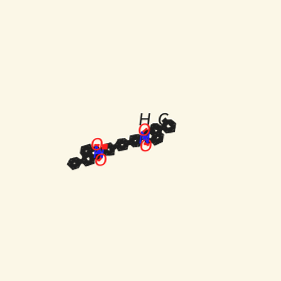 CC1C=CC=CC1c1ccc2c3c(cccc13)C(=O)N(c1ccc(-c3ccc(-c4ccc(N5C(=O)c6cccc7c(-c8ccccc8)ccc(c67)C5=O)cc4)cc3)cc1)C2=O